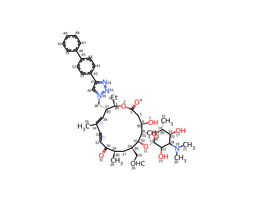 CC[C@H]1OC(=O)C[C@@H](O)[C@H](C)[C@@H](O[C@@H]2O[C@H](C)[C@@H](O)C(N(C)C)C2O)[C@@H](CC=O)C[C@@H](C)C(=O)/C=C/C(C)=C/[C@@H]1Cn1cc(-c2ccc(-c3ccccc3)cc2)nn1